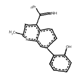 CCCC(=N)c1cc(C)nc2cc(-c3ccccc3O)ccc12